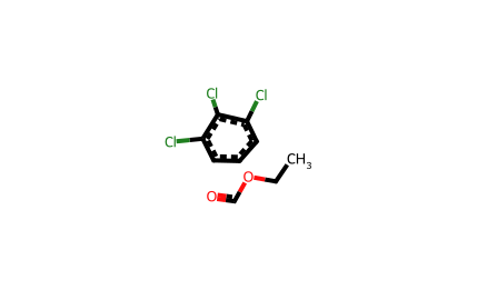 CCOC=O.Clc1cccc(Cl)c1Cl